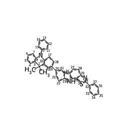 CC1(C)c2ccccc2N(c2ccccc2)c2ccc(-c3ccc4[nH]c5c(ccc6nc(-c7ccccc7)sc65)c4c3)cc21